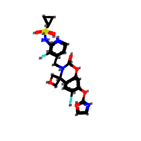 O=C1Oc2cc(Oc3ncco3)c(F)cc2C2(COC2)N1Cc1ccnc(NS(=O)(=O)C2CC2)c1F